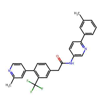 Cc1cccc(-c2ccc(NC(=O)Cc3ccc(-c4ccnc(C)c4)c(C(F)(F)F)c3)cn2)c1